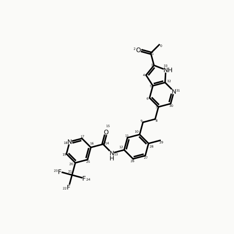 CC(=O)c1cc2cc(CCc3cc(NC(=O)c4cncc(C(F)(F)F)c4)ccc3C)cnc2[nH]1